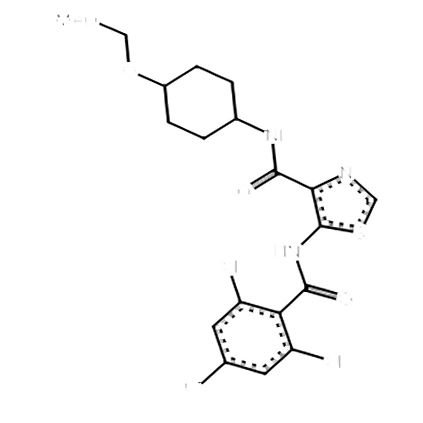 COCOC1CCC(NC(=O)c2ncsc2NC(=O)c2c(Cl)cc(Cl)cc2Cl)CC1